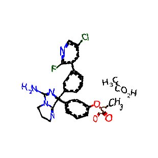 CC(=O)O.CS(=O)(=O)Oc1cccc(C2(c3cccc(-c4cc(Cl)cnc4F)c3)N=C(N)N3CCCN=C32)c1